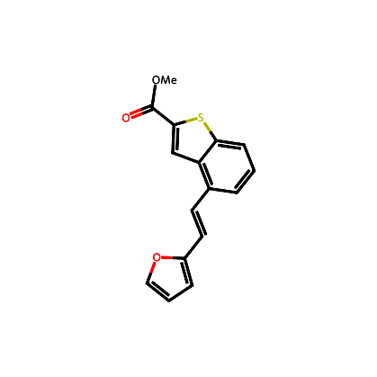 COC(=O)c1cc2c(/C=C/c3ccco3)cccc2s1